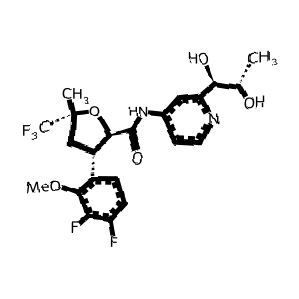 COc1c([C@@H]2C[C@](C)(C(F)(F)F)O[C@H]2C(=O)Nc2ccnc([C@@H](O)[C@H](C)O)c2)ccc(F)c1F